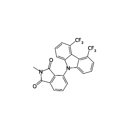 CN1C(=O)c2cccc(-n3c4cccc(C(F)(F)F)c4c4c(C(F)(F)F)cccc43)c2C1=O